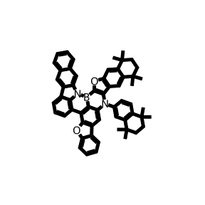 CC1(C)CCC(C)(C)c2cc(N3c4cc5c(oc6ccccc65)c5c4B(c4oc6cc7c(cc6c43)C(C)(C)CCC7(C)C)n3c4cc6ccccc6cc4c4cccc-5c43)ccc21